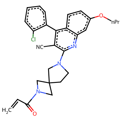 C=CC(=O)N1CC2(CCN(c3nc4cc(OCCC)ccc4c(-c4ccccc4Cl)c3C#N)C2)C1